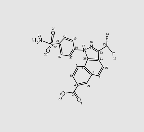 COC(=O)c1ccc2c(ccc3c(C(F)F)nn(-c4ccc(S(N)(=O)=O)cc4)c32)c1